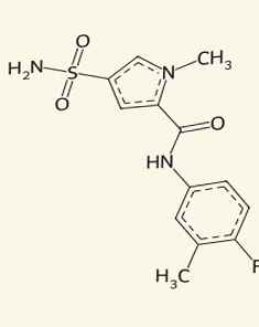 Cc1cc(NC(=O)c2cc(S(N)(=O)=O)cn2C)ccc1F